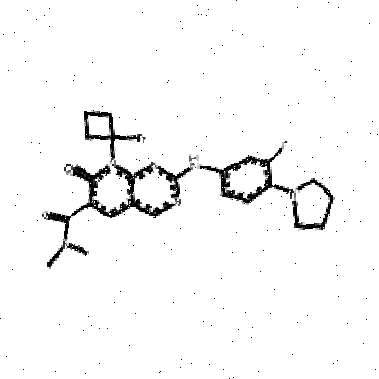 CC(C)C1(n2c(=O)c(C(=O)N(C)C)cc3cnc(Nc4ccc(N5CCCC5)c(F)c4)nc32)CCC1